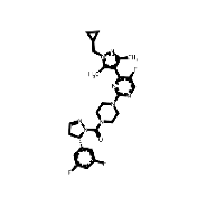 Cc1nn(CC2CC2)c(C)c1-c1nc(N2CCN(C(=O)N3N=CC[C@H]3c3cc(F)cc(F)c3)CC2)ncc1F